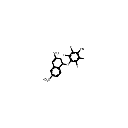 N#Cc1c(F)c(F)c(OC2CC(S(=O)(=O)O)=Cc3cc(S(=O)(=O)O)ccc32)c(F)c1F